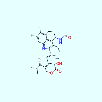 CCc1c(/C(C)=C/C2=C(C(=O)C(C)C)COC(=O)C2(O)CC)nc2cc(F)c(C)c3c2c1C(NC=O)CC3